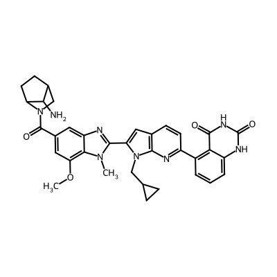 COc1cc(C(=O)N2CC3CCC2C3N)cc2nc(-c3cc4ccc(-c5cccc6[nH]c(=O)[nH]c(=O)c56)nc4n3CC3CC3)n(C)c12